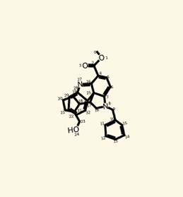 COC(=O)C1=CC=C2N(Cc3ccccc3)CC(C3CCCC3CO)C23C1=Nc1ccccc13